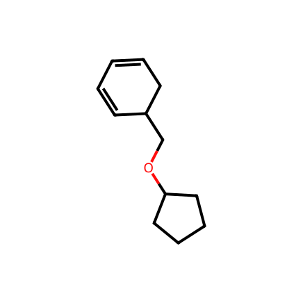 C1=CCC(COC2CCCC2)C=C1